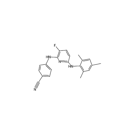 Cc1cc(C)c(Nc2ccc(F)c(Nc3ccc(C#N)cc3)n2)c(C)c1